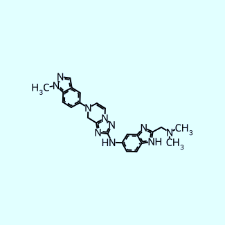 CN(C)Cc1nc2cc(Nc3nc4n(n3)C=CN(c3ccc5c(cnn5C)c3)C4)ccc2[nH]1